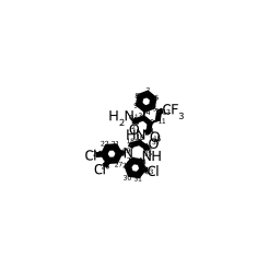 NC(=O)[C@@H](c1ccccc1)[C@@H](CCC(F)(F)F)C(=O)N[C@H]1CN(c2ccc(Cl)c(Cl)c2)c2cccc(Cl)c2NC1=O